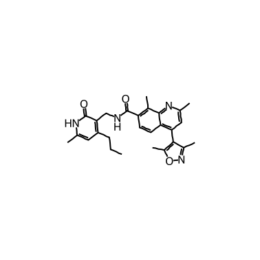 CCCc1cc(C)[nH]c(=O)c1CNC(=O)c1ccc2c(-c3c(C)noc3C)cc(C)nc2c1C